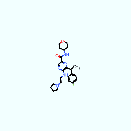 CC(c1ccc(F)cc1)c1nc(C(=O)NC2CCOCC2)cnc1NCCN1CCCC1